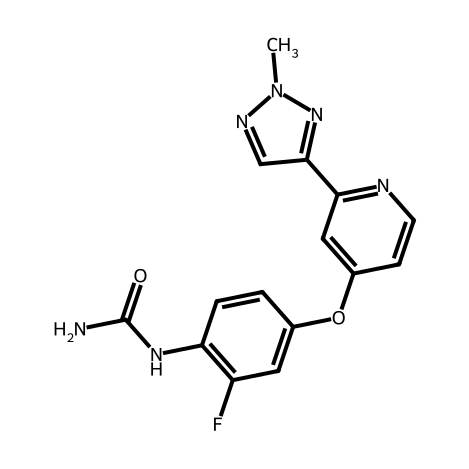 Cn1ncc(-c2cc(Oc3ccc(NC(N)=O)c(F)c3)ccn2)n1